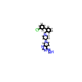 N=Nc1ncnc2c1CCN(C1CCN(Cc3ccccc3-c3cccc(Cl)c3)CC1)C2